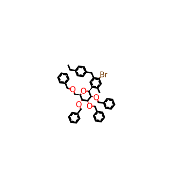 CCc1ccc(Cc2cc([C@@H]3O[C@H](COCc4ccccc4)[C@@H](OCc4ccccc4)[C@H](OCc4ccccc4)[C@H]3OCc3ccccc3)c(C)cc2Br)cc1